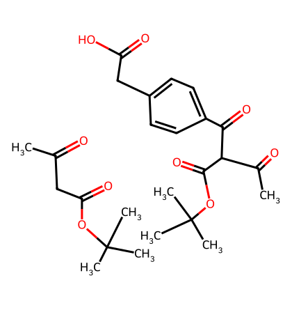 CC(=O)C(C(=O)OC(C)(C)C)C(=O)c1ccc(CC(=O)O)cc1.CC(=O)CC(=O)OC(C)(C)C